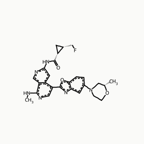 CNc1ncc(-c2nc3cc(N4CCO[C@@H](C)C4)ccc3o2)c2cc(NC(=O)[C@@H]3C[C@@H]3CF)ncc12